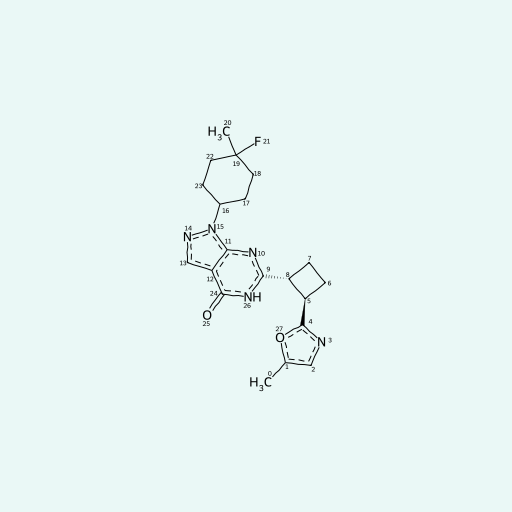 Cc1cnc([C@@H]2CC[C@H]2c2nc3c(cnn3C3CCC(C)(F)CC3)c(=O)[nH]2)o1